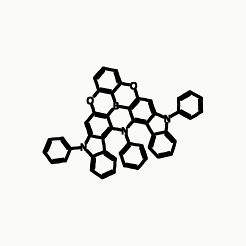 c1ccc(N2c3c4c(cc5c3c3ccccc3n5-c3ccccc3)Oc3cccc5c3B4c3c(cc4c(c32)c2ccccc2n4-c2ccccc2)O5)cc1